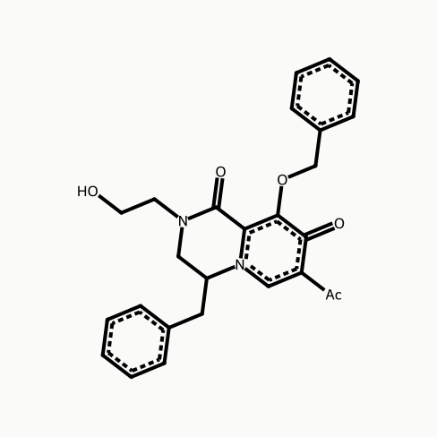 CC(=O)c1cn2c(c(OCc3ccccc3)c1=O)C(=O)N(CCO)CC2Cc1ccccc1